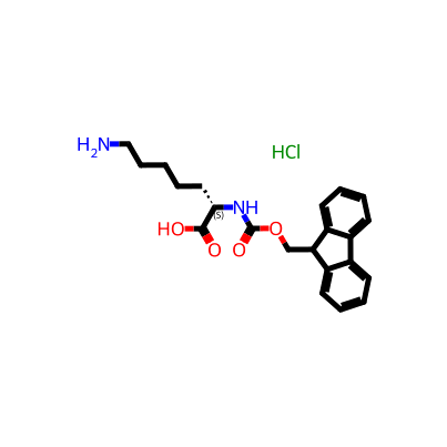 Cl.NCCCCC[C@H](NC(=O)OCC1c2ccccc2-c2ccccc21)C(=O)O